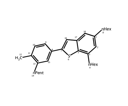 CCCCCCc1cc(CCCCCC)c2sc(-c3ccc(C)c(CCCCC)c3)cc2c1